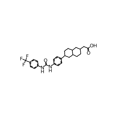 O=C(O)CC1CCC2CC(c3ccc(NC(=O)Nc4ccc(C(F)(F)F)cc4)cc3)CCC2C1